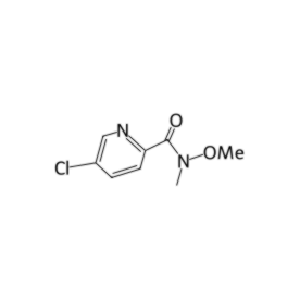 CON(C)C(=O)c1ccc(Cl)cn1